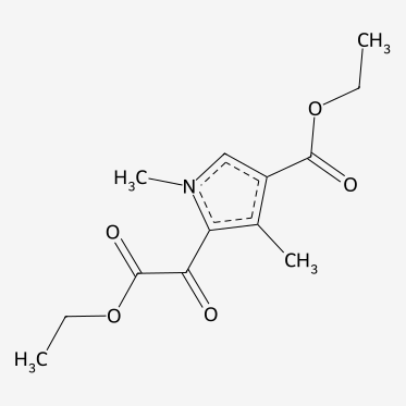 CCOC(=O)C(=O)c1c(C)c(C(=O)OCC)cn1C